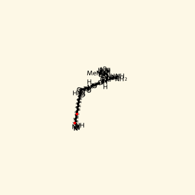 CCCC[C@H](NC(=O)[C@H](CN)NC(=O)[C@H](CCCNC(=N)N)NC(=O)COCCOCCNC(=O)CCCS(=O)(=O)NC(=O)CCCCCCCCCCCCCCCc1nnn[nH]1)C(=O)NC